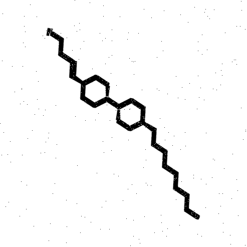 CCCCCCCCC[C@H]1CC[C@H]([C@H]2CC[C@H](C=CCCF)CC2)CC1